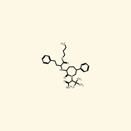 CCCCOC(=O)C(CCc1ccccc1)NC1CCC(c2ccccc2)CN(C(C(=O)O)C(C)(C)C)C1=O